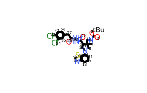 CC(C)(C)OC(=O)N1CC2(C1)CN(c1cccc3ncsc13)CC2C(=O)NNC(=O)Cc1ccc(Cl)c(Cl)c1